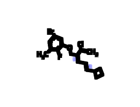 C=C(Cl)/C(=C\C=C\C1CCC1)COc1cc(Br)cc(C)c1F